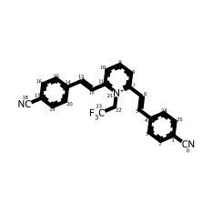 N#Cc1ccc(/C=C/c2cccc(/C=C/c3ccc(C#N)cc3)[n+]2CC(F)(F)F)cc1